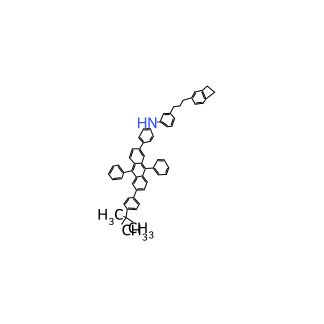 CCC(C)(CC)c1ccc(-c2ccc3c(-c4ccccc4)c4cc(-c5ccc(Nc6cccc(CCCc7ccc8c(c7)CC8)c6)cc5)ccc4c(-c4ccccc4)c3c2)cc1